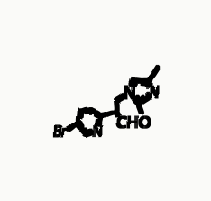 Cc1cn(CC(C=O)c2ccc(Br)cn2)c(C)n1